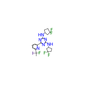 CC(F)(I)c1cccc(-c2nc(NC3CCC(F)(F)C3)nc(NC3CCC(F)(F)C3)n2)n1